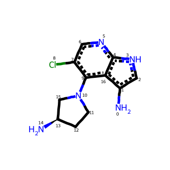 Nc1c[nH]c2ncc(Cl)c(N3CC[C@@H](N)C3)c12